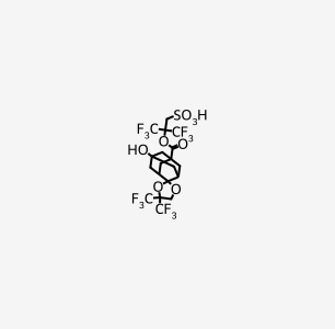 O=C(OC(CS(=O)(=O)O)(C(F)(F)F)C(F)(F)F)C12CC3CC(O)(CC(C1)C31OCC(C(F)(F)F)(C(F)(F)F)O1)C2